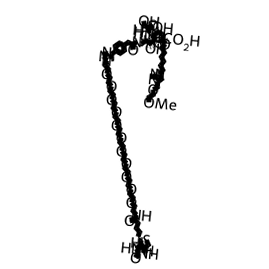 COCCOCc1cn(CCCCCCO[C@]2(C(=O)O)C[C@H](O)[C@@H](NC(=O)CO)[C@H]([C@H](O)[C@H](O)CNC(=O)Cc3ccc(-c4cn(CCOCCOCCOCCOCCOCCOCCOCCOCCOCCOCCOCCNC(=O)CCCC[C@@H]5SC[C@@H]6NC(=O)N[C@@H]65)nn4)cc3)O2)nn1